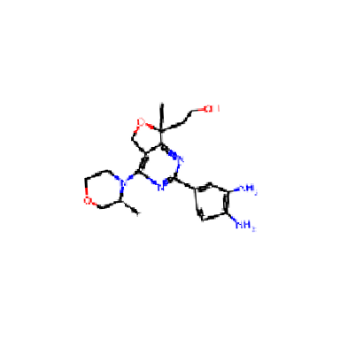 C[C@H]1COCCN1c1nc(-c2ccc(N)c(N)c2)nc2c1COC2(C)CCO